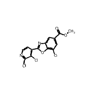 COC(=O)c1cc(Cl)c2oc(-c3ccnc(Cl)c3Cl)nc2c1